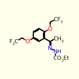 CCOC(=O)N/N=C(\C)c1cc(OCC(F)(F)F)ccc1OCC(F)(F)F